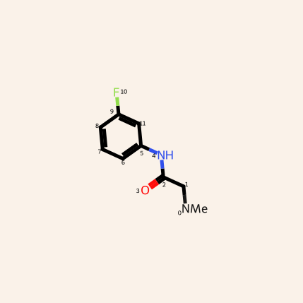 CNCC(=O)Nc1cccc(F)c1